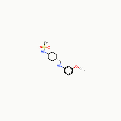 CC(C)S(=O)(=O)N[C@H]1CC[C@H](CNc2cccc(OC(F)(F)F)c2)CC1